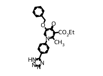 CCOC(=O)c1c(C)n(-c2ccc(-c3nnn[nH]3)cc2)cc(OCc2ccccc2)c1=O